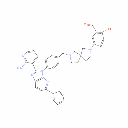 Nc1ncccc1-c1nc2ccc(-c3ccccc3)nc2n1-c1ccc(CN2CCC3(CCN(c4ccc(O)c(C=O)c4)C3)C2)cc1